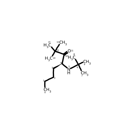 CCCC[C@H](NC(C)(C)C)C(=O)C(C)(C)C